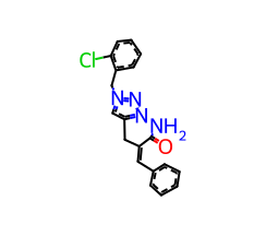 NC(=O)C(=Cc1ccccc1)Cc1cn(Cc2ccccc2Cl)nn1